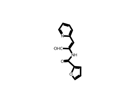 O=[C]/C(=C\c1ccccn1)NC(=O)c1ccco1